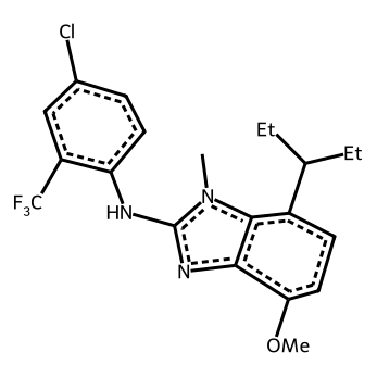 CCC(CC)c1ccc(OC)c2nc(Nc3ccc(Cl)cc3C(F)(F)F)n(C)c12